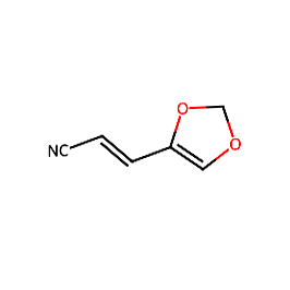 N#CC=CC1=COCO1